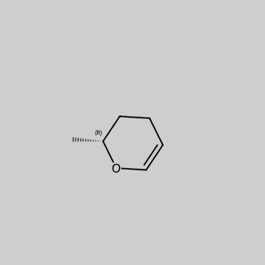 C[C@@H]1CCC=CO1